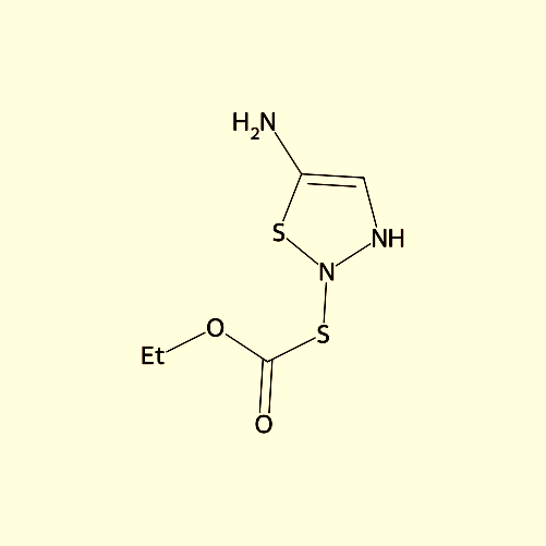 CCOC(=O)SN1NC=C(N)S1